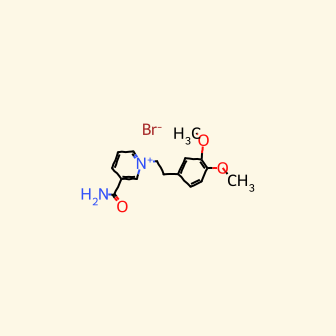 COc1ccc(CC[n+]2cccc(C(N)=O)c2)cc1OC.[Br-]